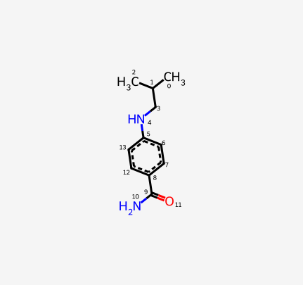 CC(C)CNc1ccc(C(N)=O)cc1